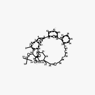 Cc1nc2cc3nn2c(c1[C@H](OC(C)(C)C)C(=O)O)N1CCC(C)(CC1)COCCCCCc1ccccc1-c1cccc-3c1